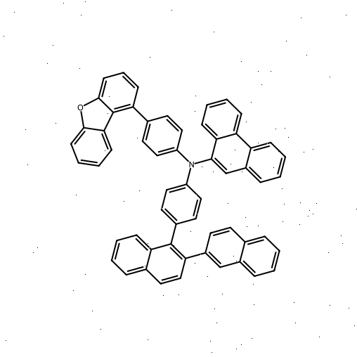 c1ccc2cc(-c3ccc4ccccc4c3-c3ccc(N(c4ccc(-c5cccc6oc7ccccc7c56)cc4)c4cc5ccccc5c5ccccc45)cc3)ccc2c1